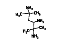 CC(C)(N)CC(N)C(C)(C)N